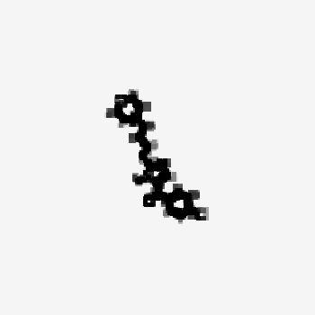 Cn1c(C(=O)c2ccc(Cl)cc2)cnc1SCCCN1CCOCC1